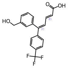 O=C(O)/C=C/C=C(/c1ccc(C(F)(F)F)cc1)c1cccc(CO)c1